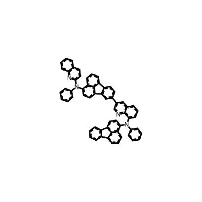 c1ccc(N(c2ccc3ccccc3n2)c2ccc3c4c(cccc24)-c2ccc(-c4cnc5c(N(c6ccccc6)c6ccc7c8c(cccc68)-c6ccccc6-7)cccc5c4)cc2-3)cc1